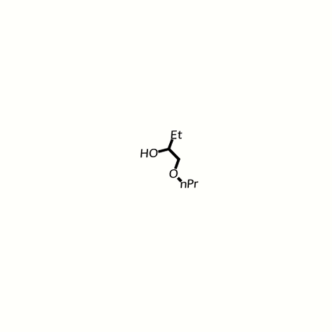 [CH2]CCOCC(O)CC